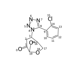 O=C1CC(n2nnnc2-c2ccccc2Cl)C2COC1O2